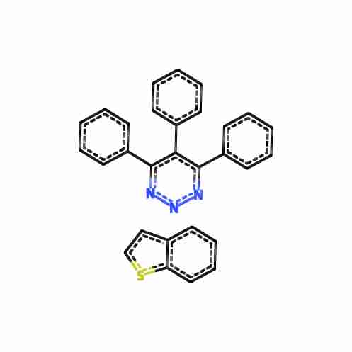 c1ccc(-c2nnnc(-c3ccccc3)c2-c2ccccc2)cc1.c1ccc2sccc2c1